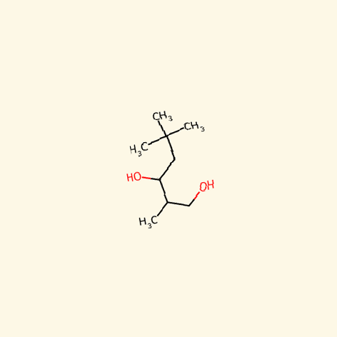 CC(CO)C(O)CC(C)(C)C